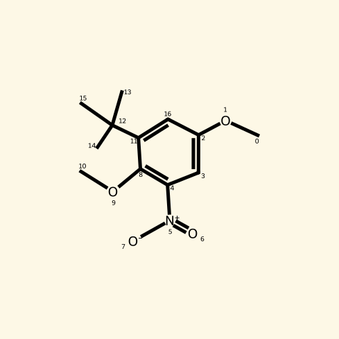 COc1cc([N+](=O)[O-])c(OC)c(C(C)(C)C)c1